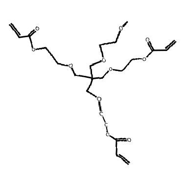 C=CC(=O)OCCOCC(COCCOC)(COCCOC(=O)C=C)COCCOC(=O)C=C